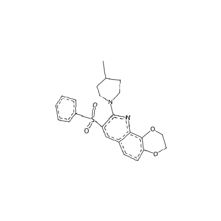 CC1CCN(c2nc3c4c(ccc3cc2S(=O)(=O)c2ccccc2)OCCO4)CC1